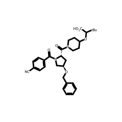 CC(C)(C)C(OC1CCN(C(=O)[C@@H]2C[C@@H](OCc3ccccc3)CN2C(=O)c2ccc(C#N)cc2)CC1)C(=O)O